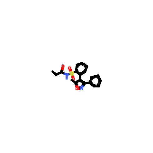 CCC(=O)NS(=O)(=O)c1ccccc1-c1c(-c2ccccc2)noc1C